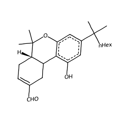 CCCCCCC(C)(C)c1cc(O)c2c(c1)OC(C)(C)[C@H]1CC=C(C=O)CC21